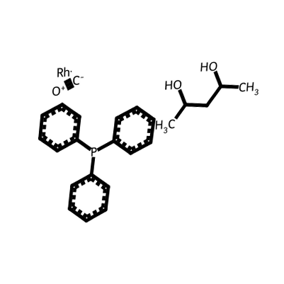 CC(O)CC(C)O.[C-]#[O+].[Rh].c1ccc(P(c2ccccc2)c2ccccc2)cc1